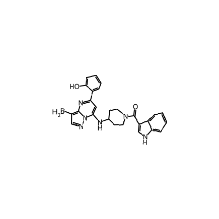 Bc1cnn2c(NC3CCN(C(=O)c4c[nH]c5ccccc45)CC3)cc(-c3ccccc3O)nc12